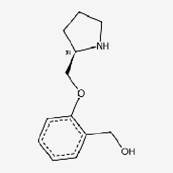 OCc1ccccc1OC[C@H]1CCCN1